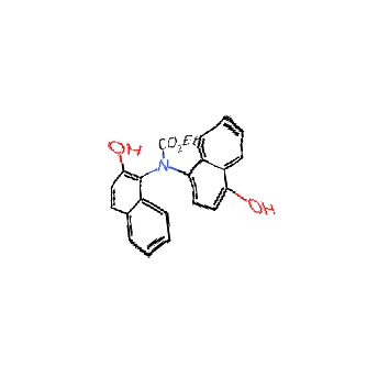 CCOC(=O)N(c1c(O)ccc2ccccc12)c1ccc(O)c2ccccc12